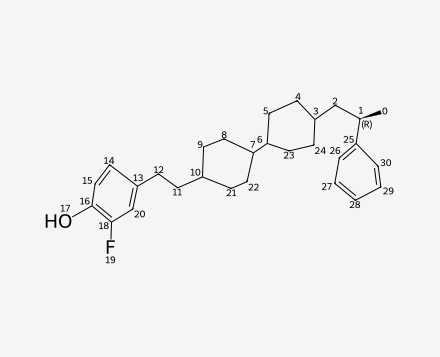 C[C@H](CC1CCC(C2CCC(CCc3ccc(O)c(F)c3)CC2)CC1)c1ccccc1